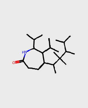 CC(C)C1NC(=O)CCC(C(C)C(C)(C)C(C)C(C)C)C1C(C)C